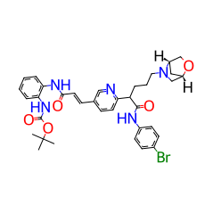 CC(C)(C)OC(=O)Nc1ccccc1NC(=O)C=Cc1ccc(C(CCCN2C[C@@H]3C[C@H]2CO3)C(=O)Nc2ccc(Br)cc2)nc1